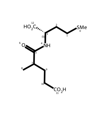 CSCC[C@H](NC(=O)C(C)CCC(=O)O)C(=O)O